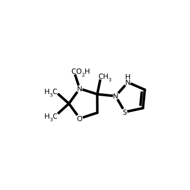 CC1(C)OCC(C)(N2NC=CS2)N1C(=O)O